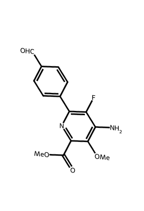 COC(=O)c1nc(-c2ccc(C=O)cc2)c(F)c(N)c1OC